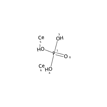 O=P(O)(O)O.[Ce].[Ce]